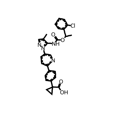 Cc1cnn(-c2ccc(-c3ccc(C4(C(=O)O)CC4)cc3)nc2)c1NC(=O)OC(C)c1ccccc1Cl